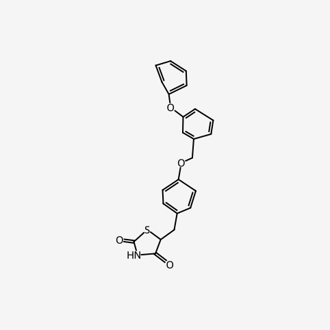 O=C1NC(=O)C(Cc2ccc(OCc3cccc(Oc4ccccc4)c3)cc2)S1